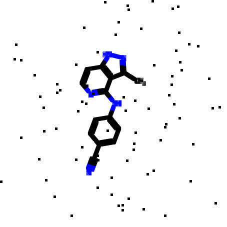 Cc1n[nH]c2ccnc(Nc3ccc(C#N)cc3)c12